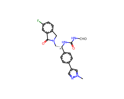 Cn1cc(-c2ccc([C@H](CN3Cc4ccc(F)cc4C3=O)NC(=O)NC=O)cc2)cn1